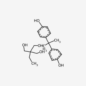 CC(C)(c1ccc(O)cc1)c1ccc(O)cc1.CCC(CO)(CO)CO